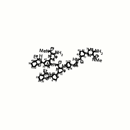 CC[C@@H](NC(=O)c1cccc(-c2cnc(N)c(C(=O)NC)n2)c1)c1ccccc1.CC[C@H](NC(=O)c1cccc(-c2cnc(N)c(C(=O)NC)n2)c1)c1ccccc1.CNC(=O)c1nc(-c2cccc(C(=O)N[C@@H]3C[C@H]3c3ccccc3)c2)cnc1N